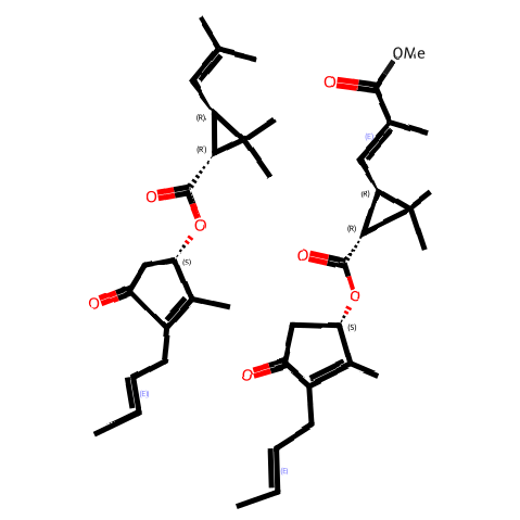 C/C=C/CC1=C(C)[C@@H](OC(=O)[C@@H]2[C@@H](/C=C(\C)C(=O)OC)C2(C)C)CC1=O.C/C=C/CC1=C(C)[C@@H](OC(=O)[C@@H]2[C@@H](C=C(C)C)C2(C)C)CC1=O